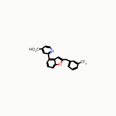 O=C(O)c1ccnc(-c2cccc3oc(Cc4cccc(C(F)(F)F)c4)cc23)c1